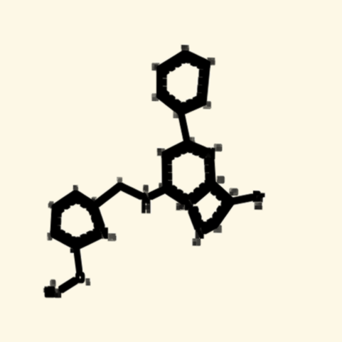 CC(C)(C)Oc1cccc(CNc2cc(-c3ccccc3)nc3c(Br)cnn23)n1